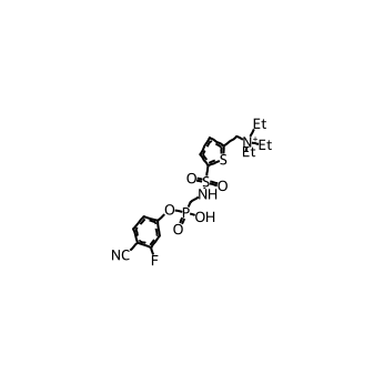 CC[N+](CC)(CC)Cc1ccc(S(=O)(=O)NCP(=O)(O)Oc2ccc(C#N)c(F)c2)s1